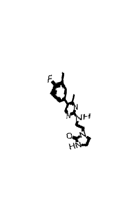 Cc1cc(-c2cnc(NCCN3CCNC3=O)nc2C)ccc1F